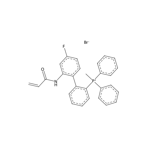 C=CC(=O)Nc1cc(F)ccc1-c1ccccc1[P+](C)(c1ccccc1)c1ccccc1.[Br-]